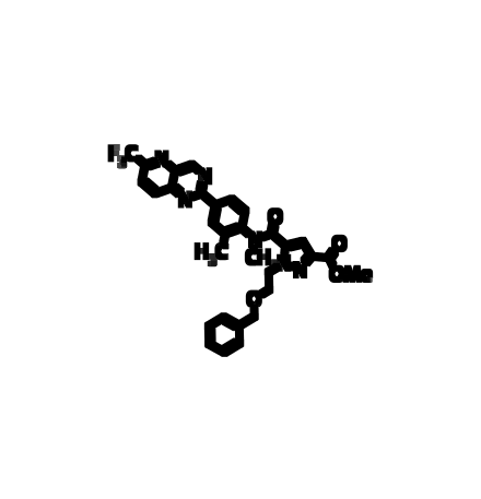 COC(=O)c1cc(C(=O)N(C)c2ccc(-c3ncc4nc(C(F)(F)F)ccc4n3)cc2C)n(CCOCc2ccccc2)n1